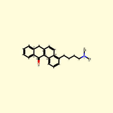 CCN([CH]CC[CH]c1cccc2c3c(ccc12)Cc1ccccc1C3=O)CC